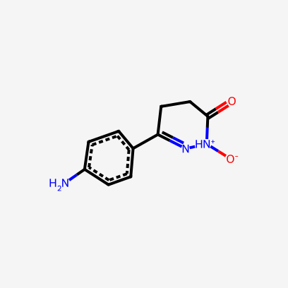 Nc1ccc(C2=N[NH+]([O-])C(=O)CC2)cc1